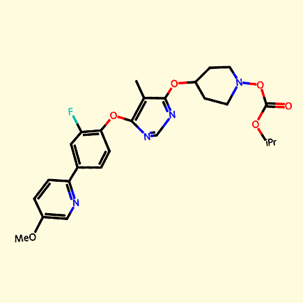 COc1ccc(-c2ccc(Oc3ncnc(OC4CCN(OC(=O)OC(C)C)CC4)c3C)c(F)c2)nc1